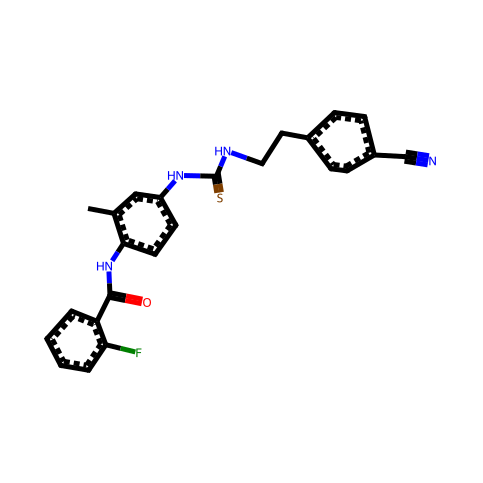 Cc1cc(NC(=S)NCCc2ccc(C#N)cc2)ccc1NC(=O)c1ccccc1F